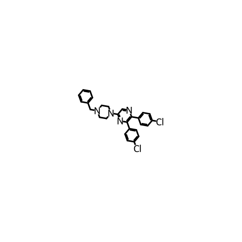 Clc1ccc(-c2ncc(N3CCN(Cc4ccccc4)CC3)nc2-c2ccc(Cl)cc2)cc1